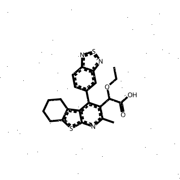 CCOC(C(=O)O)c1c(C)nc2sc3c(c2c1-c1ccc2nsnc2c1)CCCC3